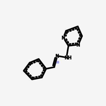 C(=N\Nc1ncccn1)/c1ccccc1